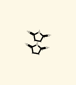 O=C1CCC(=O)O1.O=C1CCC(=O)O1